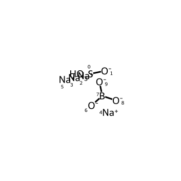 O=S(=O)([O-])O.[Na+].[Na+].[Na+].[Na+].[O-]B([O-])[O-]